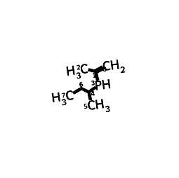 C=C(C)PC(C)CC